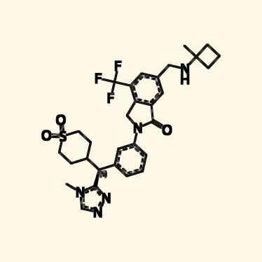 Cn1cnnc1[C@H](c1cccc(N2Cc3c(cc(CNC4(C)CCC4)cc3C(F)(F)F)C2=O)c1)C1CCS(=O)(=O)CC1